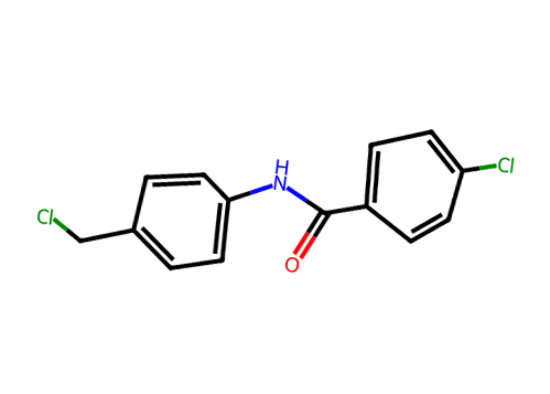 O=C(Nc1ccc(CCl)cc1)c1ccc(Cl)cc1